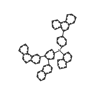 c1ccc2cc(-c3cc(N(c4ccc(-c5cc6ccccc6c6ccccc56)cc4)c4cccc5ccccc45)ccc3-c3ccc4ccc5ccccc5c4c3)ccc2c1